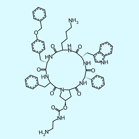 NCCCCC1NC(=O)[C@H](Cc2c[nH]c3ccccc23)NC(=O)[C@H](c2ccccc2)NC(=O)C2C[C@@H](OC(=O)NCCN)CN2C(=O)C(Cc2ccccc2)NC(=O)[C@H](Cc2ccc(OCc3ccccc3)cc2)NC1=O